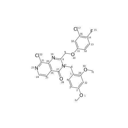 COc1ccc(Cn2c(COc3ccc(F)c(Cl)c3)nc3c(Cl)nccc3c2=O)c(OC)c1